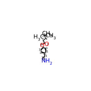 CC(C)(C)CCC(=O)Oc1ccc(CCN)cc1